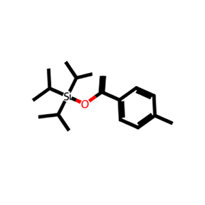 C=C(O[Si](C(C)C)(C(C)C)C(C)C)c1ccc(C)cc1